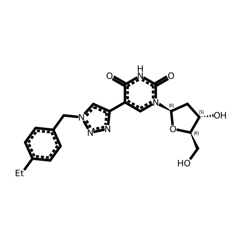 CCc1ccc(Cn2cc(-c3cn([C@H]4C[C@H](O)[C@@H](CO)O4)c(=O)[nH]c3=O)nn2)cc1